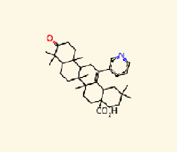 CC1(C)CCC2(C(=O)O)CCC3(C)C(=C(c4cccnc4)CC4C5(C)CCC(=O)C(C)(C)C5CCC43C)C2C1